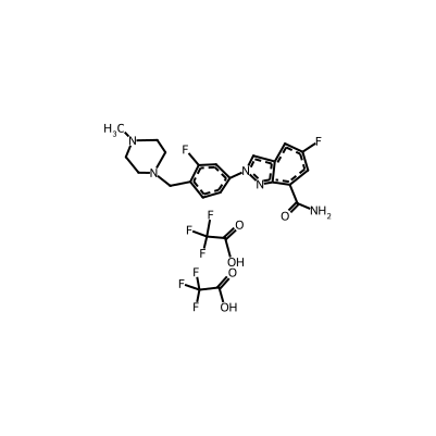 CN1CCN(Cc2ccc(-n3cc4cc(F)cc(C(N)=O)c4n3)cc2F)CC1.O=C(O)C(F)(F)F.O=C(O)C(F)(F)F